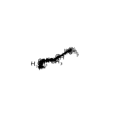 C[C@@H]1CN(c2ncc(-c3ccc4c(n3)N(Cc3cccnc3C#N)C(C)(C)C4=O)cn2)CCN1C(=O)CNC(=O)CCCCCCCCCNC(=O)OC(C)(C)C